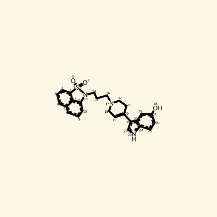 O=S1(=O)c2cccc3cccc(c23)N1CCCN1CC=C(c2c[nH]c3ccc(O)cc23)CC1